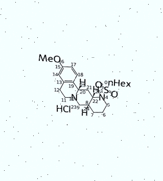 CCCCCCS(=O)(=O)N1CCC[C@@H]2CN3CCc4cc(OC)ccc4[C@@H]3C[C@@H]21.Cl